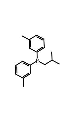 Cc1cccc(P(CC(C)C)c2cccc(C)c2)c1